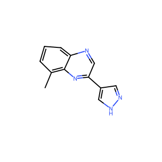 Cc1cccc2ncc(-c3cn[nH]c3)nc12